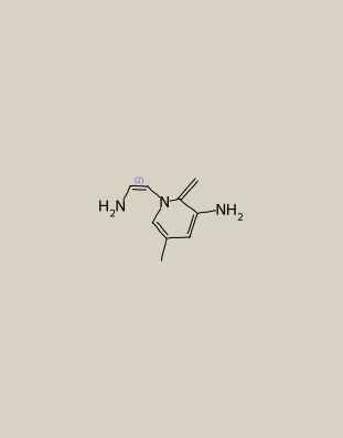 C=C1C(N)=CC(C)=CN1/C=C\N